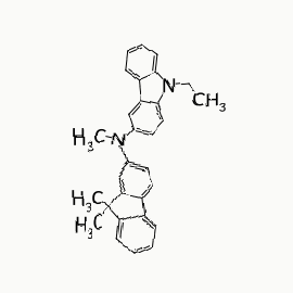 CCn1c2ccccc2c2cc(N(C)c3ccc4c(c3)C(C)(C)c3ccccc3-4)ccc21